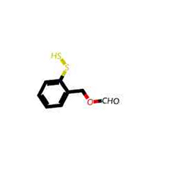 O=COCc1ccccc1SS